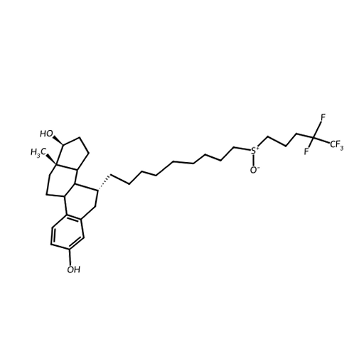 C[C@]12CCC3c4ccc(O)cc4C[C@@H](CCCCCCCCC[S+]([O-])CCCC(F)(F)C(F)(F)F)C3C1CC[C@@H]2O